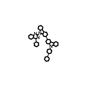 c1ccc(-c2ccc(-n3c4ccccc4c4cc(-c5ccc6c7ccccc7n(-c7nc(-c8ccccc8)c8ccccc8n7)c6c5)ccc43)cc2)cc1